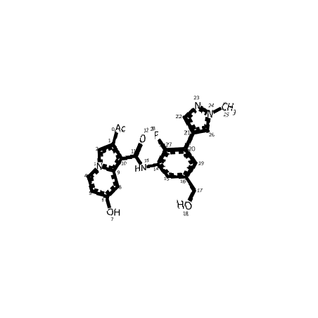 CC(=O)c1cn2ccc(O)cc2c1C(=O)Nc1cc(CO)cc(-c2cnn(C)c2)c1F